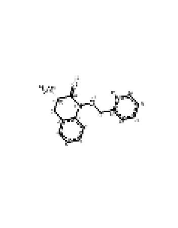 N[C@H]1Cc2ccccc2N(OCc2ccccn2)C1=O